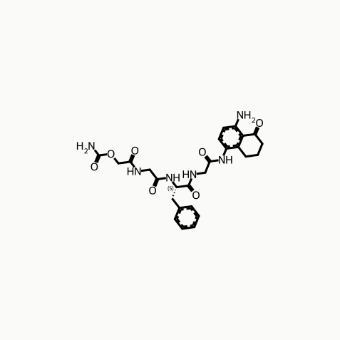 NC(=O)OCC(=O)NCC(=O)N[C@@H](Cc1ccccc1)C(=O)NCC(=O)Nc1ccc(N)c2c1CCCC2=O